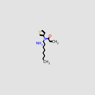 C=CC(=O)N(CCCCCCCC)c1ccsc1.N